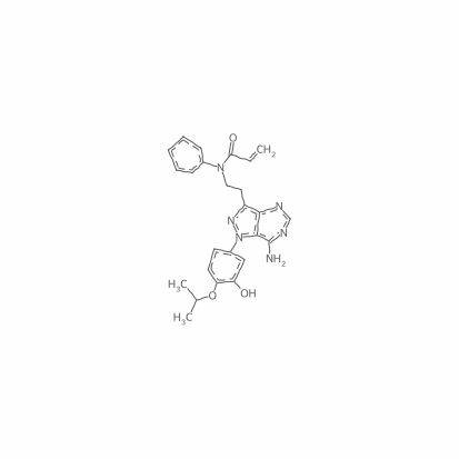 C=CC(=O)N(CCc1nn(-c2ccc(OC(C)C)c(O)c2)c2c(N)ncnc12)c1ccccc1